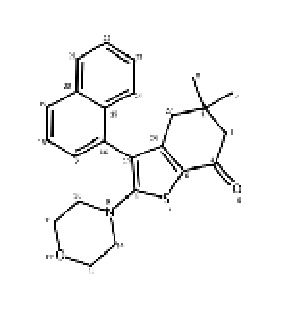 CC1(C)CC(=O)c2sc(N3CCOCC3)c(-c3cccc4ccccc34)c2C1